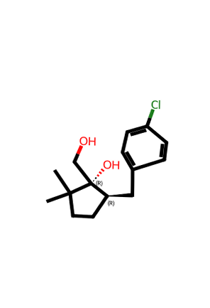 CC1(C)CC[C@H](Cc2ccc(Cl)cc2)[C@]1(O)CO